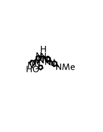 CNC1CCN(c2ccc(Nc3ncc4c5ccncc5n([C@H]5CCC[C@H]5O)c4n3)nn2)CC1